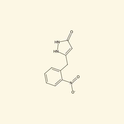 O=c1cc(Cc2ccccc2[N+](=O)[O-])[nH][nH]1